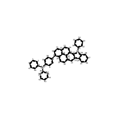 c1ccc(N(c2ccc(-c3ccc4ccc5c6c(ccc3c46)cc3c4ccccc4n(-c4ccccc4)c35)cc2)c2ncccn2)cc1